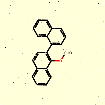 O=[C]Oc1c(-c2cccc3ccccc23)ccc2ccccc12